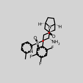 Cc1cccc(S(=O)(=O)CCC(=O)N2[C@@H]3CC[C@H]2C[C@@H]([C@H](N)Cc2cc(F)c(F)cc2F)C3)n1